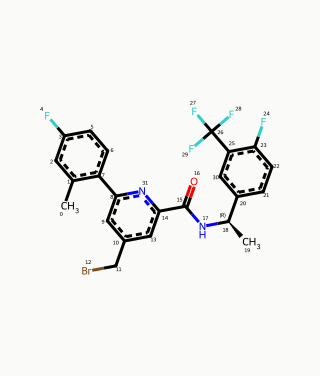 Cc1cc(F)ccc1-c1cc(CBr)cc(C(=O)N[C@H](C)c2ccc(F)c(C(F)(F)F)c2)n1